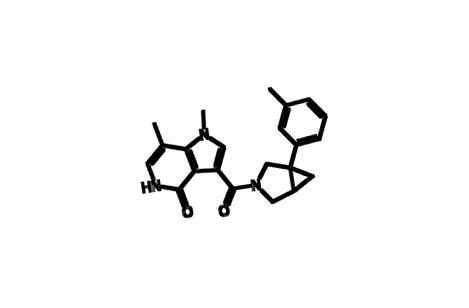 Cc1cccc(C23CC2CN(C(=O)c2cn(C)c4c(C)c[nH]c(=O)c24)C3)c1